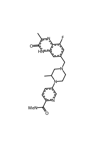 CNC(=O)c1ccc(N2CCN(Cc3cc(F)c4nc(C)c(=O)[nH]c4c3)CC2C)cn1